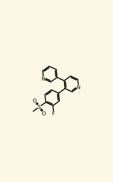 CS(=O)(=O)c1ccc(-c2cnccc2-c2cccnc2)cc1F